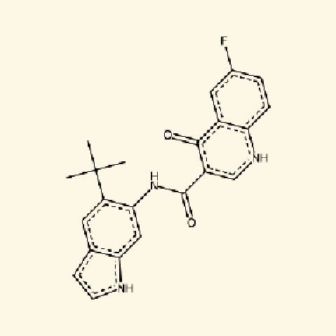 CC(C)(C)c1cc2cc[nH]c2cc1NC(=O)c1c[nH]c2ccc(F)cc2c1=O